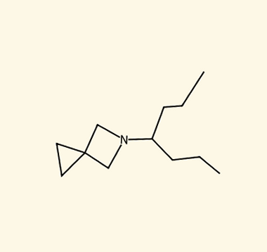 CCCC(CCC)N1CC2(CC2)C1